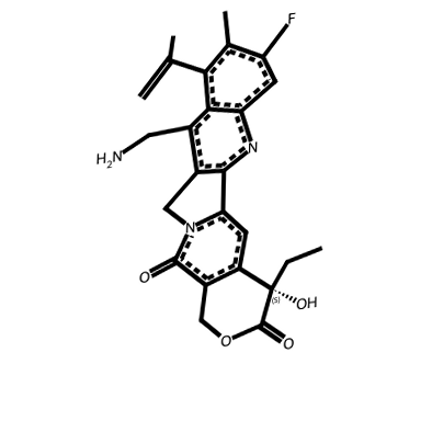 C=C(C)c1c(C)c(F)cc2nc3c(c(CN)c12)Cn1c-3cc2c(c1=O)COC(=O)[C@]2(O)CC